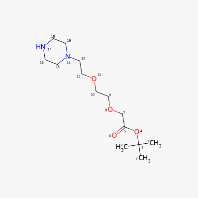 CC(C)(C)OC(=O)COCCOCCN1CCNCC1